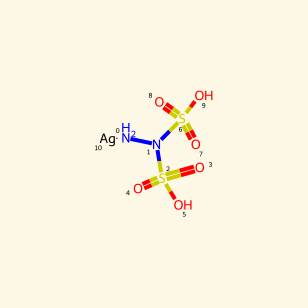 NN(S(=O)(=O)O)S(=O)(=O)O.[Ag]